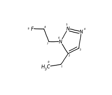 CCc1cnnn1CCF